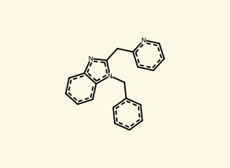 c1ccc(Cn2c(Cc3ccccn3)nc3ccccc32)cc1